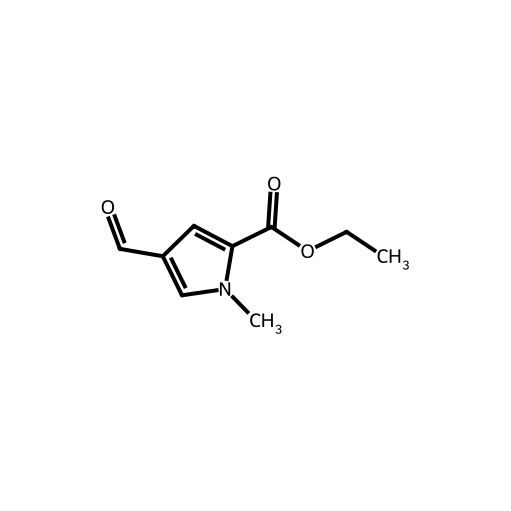 CCOC(=O)c1cc(C=O)cn1C